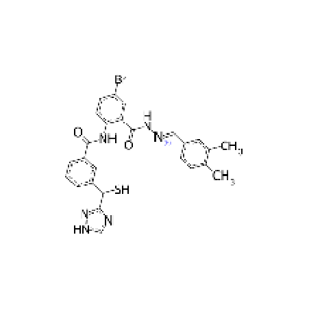 Cc1ccc(/C=N/NC(=O)c2cc(Br)ccc2NC(=O)c2cccc(C(S)c3nc[nH]n3)c2)cc1C